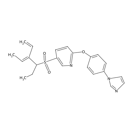 C=C/C(=C\C)C(CC)S(=O)(=O)c1ccc(Oc2ccc(-n3ccnc3)cc2)nc1